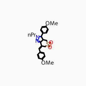 CCCN1N=C2C(=Cc3ccc(OC)cc3)CS(=O)(=O)CC2C1c1ccc(OC)cc1